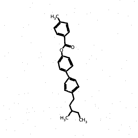 CCC(C)CCc1ccc(-c2ccc(OC(=O)c3ccc(C)cc3)cc2)cc1